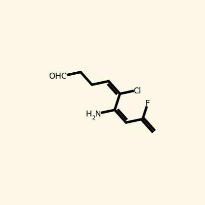 C=C(F)/C=C(N)\C(Cl)=C/CCC=O